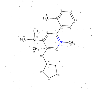 Cc1ccccc1-c1cc([Si](C)(C)C)c(CC2CCCC2)c[n+]1C